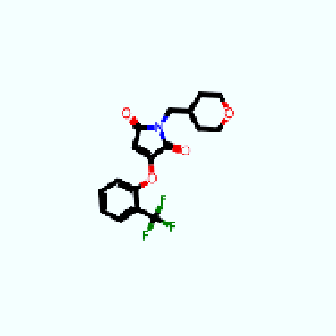 O=C1C=C(Oc2ccccc2C(F)(F)F)C(=O)N1CC1CCOCC1